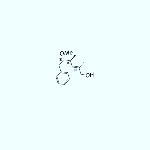 CO[C@@H](Cc1ccccc1)[C@@H](C)/C=C(\C)CO